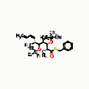 C=C/C=C\[C@H](C)C(O[Si](CC)(CC)CC)C(C)[C@H](O[Si](C)(C)C(C)(C)C)[C@@H](C)C(=O)SCc1ccccc1